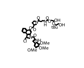 COc1cc2cc(C(=O)N3C[C@@H](CCl)c4c3cc(OC(=O)C3CCN(C(=O)CCNC(=O)OCC(O)OC(CO)C(C)(C)C)C3)c3ccccc43)[nH]c2c(OC)c1OC